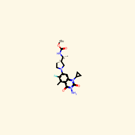 Cc1c(F)c(N2CC[C@H]([C@@H](C)NC(=O)OC(C)(C)C)C2)cc2c1c(=O)n(N)c(=O)n2C1CC1